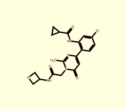 Cc1nc(-c2ccc(Cl)cc2NC(=O)C2CC2)cc(=O)n1CC(=O)NC1COC1